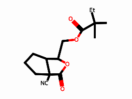 CCC(C)(C)C(=O)OCC1OC(=O)C2(C#N)CCCC12